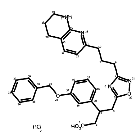 Cl.O=C(O)CC(Cc1nc(CCCc2ccc3c(n2)NCCC3)no1)c1cccc(OCc2ccccc2)c1